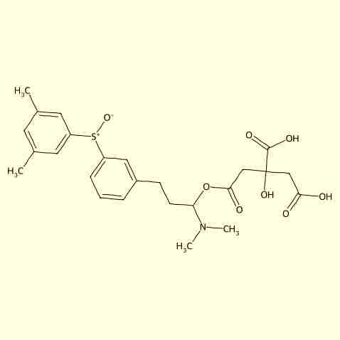 Cc1cc(C)cc([S+]([O-])c2cccc(CCC(OC(=O)CC(O)(CC(=O)O)C(=O)O)N(C)C)c2)c1